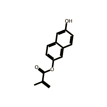 C=C(C)C(=O)Oc1ccc2cc(O)ccc2c1